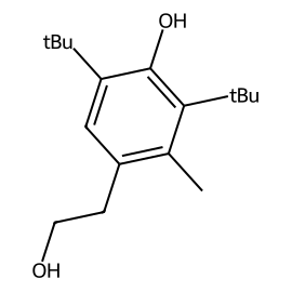 Cc1c(CCO)cc(C(C)(C)C)c(O)c1C(C)(C)C